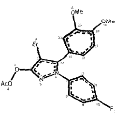 CCc1c(OOC(C)=O)nn(-c2ccc(F)cc2)c1-c1ccc(OC)c(OC)c1